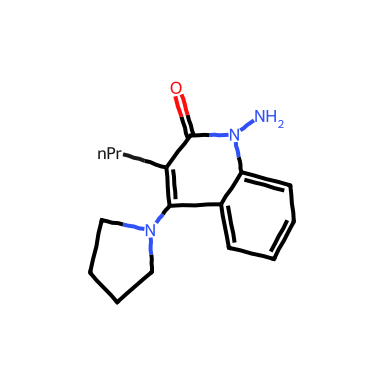 CCCc1c(N2CCCC2)c2ccccc2n(N)c1=O